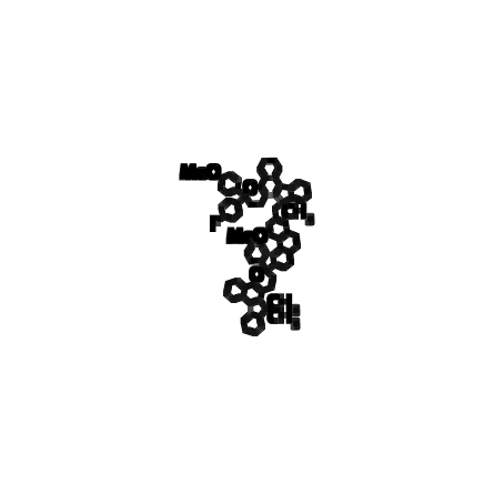 COc1ccc(C2(c3ccc4ccc5cc(CC6(C)c7ccccc7-c7c6c6c(c8ccccc78)OC(c7ccc(F)cc7)(c7ccc(OC)cc7)C=C6)ccc5c4c3)C=Cc3c4c(c5ccccc5c3O2)-c2ccccc2C4(C)C)cc1